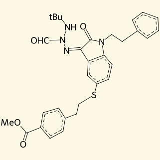 COC(=O)c1ccc(CCSc2ccc3c(c2)C(=NN(C=O)NC(C)(C)C)C(=O)N3CCc2ccccc2)cc1